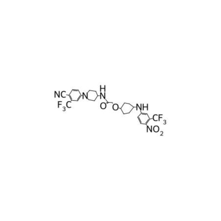 N#Cc1ccc(N2CCC(NC(=O)COC3CCC(Nc4ccc([N+](=O)[O-])c(C(F)(F)F)c4)CC3)CC2)cc1C(F)(F)F